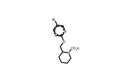 O=C(O)N1CCCCC1COc1ncc(Br)cn1